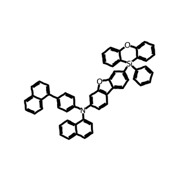 c1ccc([Si]2(c3ccc4c(c3)oc3cc(N(c5ccc(-c6cccc7ccccc67)cc5)c5cccc6ccccc56)ccc34)c3ccccc3Oc3ccccc32)cc1